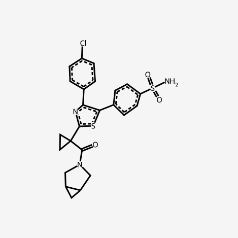 NS(=O)(=O)c1ccc(-c2sc(C3(C(=O)N4CC5CC5C4)CC3)nc2-c2ccc(Cl)cc2)cc1